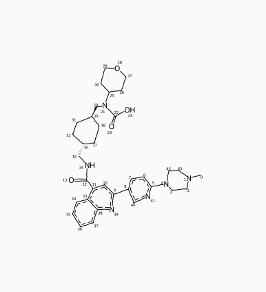 CN1CCN(c2ccc(-c3cc(C(=O)NC[C@H]4CC[C@H](CN(C(=O)O)C5CCOCC5)CC4)c4ccccc4n3)cn2)CC1